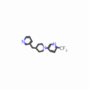 FC(F)(F)c1ccc(N2CCC(Cc3cccnc3)CC2)cn1